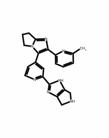 Cc1cccc(-c2nc3n(c2-c2ccnc(-c4nc5c([nH]4)CNC5)c2)CCC3)n1